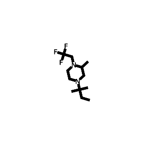 CCC(C)(C)N1CCN(CC(F)(F)F)C(C)C1